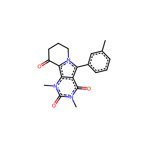 Cc1cccc(-c2c3c(=O)n(C)c(=O)n(C)c3c3n2CCCC3=O)c1